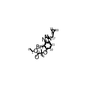 CCOC(=O)C(C)(C)Oc1ccc2c(nnn2CC2CC2)c1Br